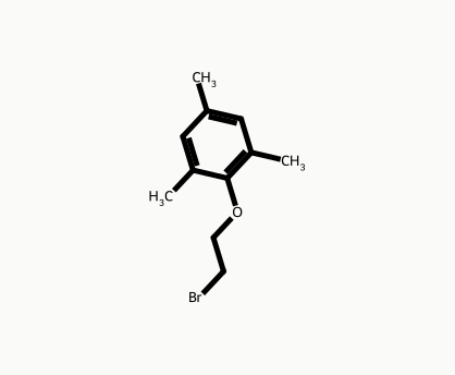 Cc1cc(C)c(OCCBr)c(C)c1